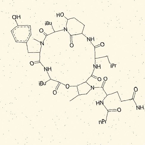 CCCC(=O)NC(CCC(N)=O)C(=O)N1CC(C)C2OC(=O)C(C(C)CC)NC(=O)C(Cc3ccc(O)cc3)N(C)C(=O)C(C(C)CC)N3C(=O)C(CCC3O)NC(=O)C(CC(C)C)NC(=O)C21